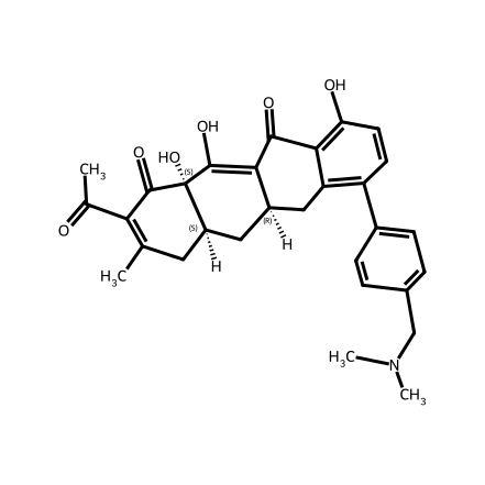 CC(=O)C1=C(C)C[C@@H]2C[C@@H]3Cc4c(-c5ccc(CN(C)C)cc5)ccc(O)c4C(=O)C3=C(O)[C@]2(O)C1=O